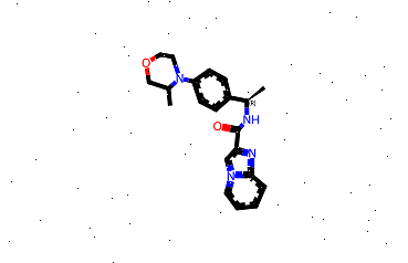 CC1COCCN1c1ccc([C@@H](C)NC(=O)c2cn3ccccc3n2)cc1